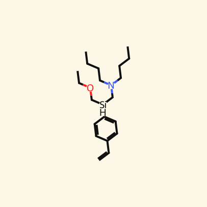 C=Cc1ccc([SiH](COCC)CN(CCCC)CCCC)cc1